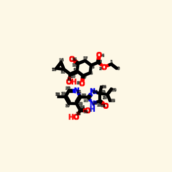 CCOC(=O)C1CC(=O)C(=C(O)C2CC2)C(=O)C1.Cc1cnc(C2=NC(C)(C(C)C)C(=O)N2)c(C(=O)O)c1